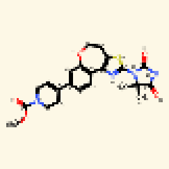 CC(C)(C)OC(=O)N1CC=C(c2ccc3c(c2)OCCc2sc(N4C(=O)NC(=O)C4(C)C)nc2-3)CC1